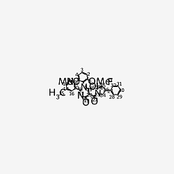 COc1cccc(OC)c1-n1c(-c2cncc(C)c2)nc(=O)c(C(=O)N2CCC(c3ccccc3F)C2)c1O